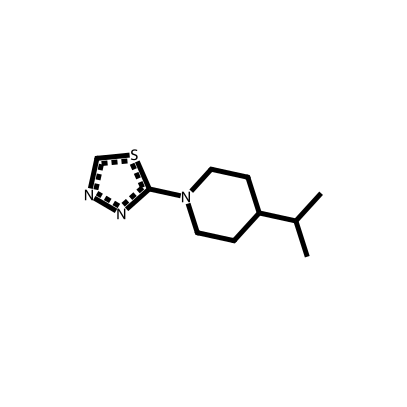 CC(C)C1CCN(c2nncs2)CC1